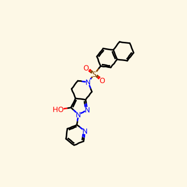 O=S(=O)(c1ccc2c(c1)C=CCC2)N1CCc2c(nn(-c3ccccn3)c2O)C1